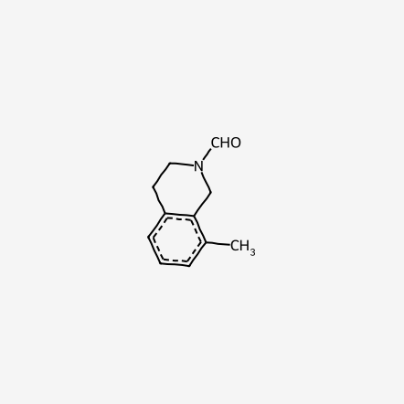 Cc1cccc2c1CN(C=O)CC2